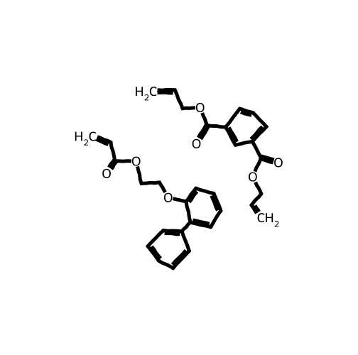 C=CC(=O)OCCOc1ccccc1-c1ccccc1.C=CCOC(=O)c1cccc(C(=O)OCC=C)c1